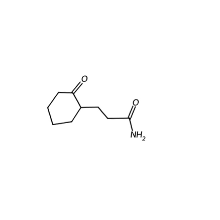 NC(=O)CCC1CCCCC1=O